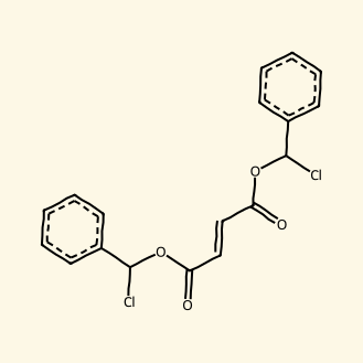 O=C(C=CC(=O)OC(Cl)c1ccccc1)OC(Cl)c1ccccc1